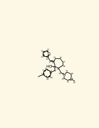 Cc1ccc(CC2(O)C(=Cc3ccco3)CCCCC2CN2CCN(C)CC2)cc1